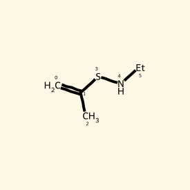 C=C(C)SNCC